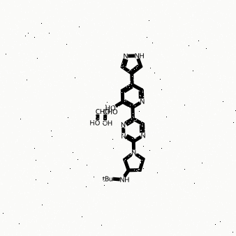 CC(C)(C)NC1CCN(c2ncc(-c3ncc(-c4cn[nH]c4)cc3O)nn2)C1.O=CO.O=CO